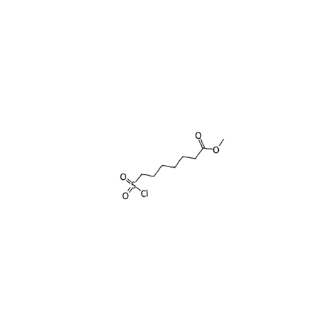 COC(=O)CCCCCCS(=O)(=O)Cl